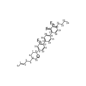 C/C=C/CCC1CCC(c2ccc(-c3ccc(-c4ccc(CCCC)c(F)c4F)cc3)c(F)c2)OC1